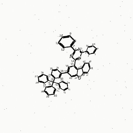 c1ccc(-c2nc(-c3ccccc3)nc(-c3cc(-c4cccc(C(c5ccccc5)(c5ccccc5)c5ccccc5)c4)cc4oc5ccccc5c34)n2)cc1